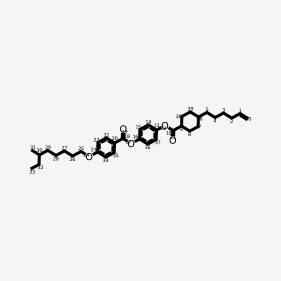 C=CCCCCC1CCC(C(=O)Oc2ccc(OC(=O)c3ccc(OCCCCCC(C)CC)cc3)cc2)CC1